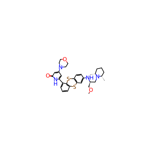 COC[C@H](CN1[C@H](C)CCC[C@@H]1C)Nc1ccc2c(c1)Sc1cccc(-c3cc(N4CCOCC4)cc(=O)[nH]3)c1S2